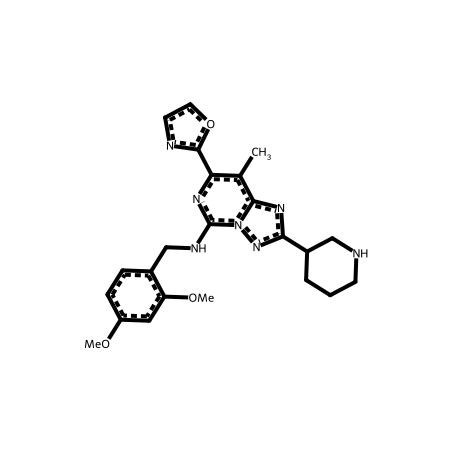 COc1ccc(CNc2nc(-c3ncco3)c(C)c3nc(C4CCCNC4)nn23)c(OC)c1